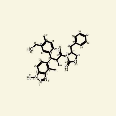 CCn1nnc2c(C)c([C@@H](c3ccc(C)c(CO)c3)[C@H](C)C(=O)N3C(=O)OCC3Cc3ccccc3)ccc21